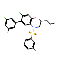 O=C(O)CC[C@H]1CN(S(=O)(=O)c2cccc(C(F)(F)F)c2)c2cc(-c3cc(F)cc(F)c3)c(Cl)cc2O1